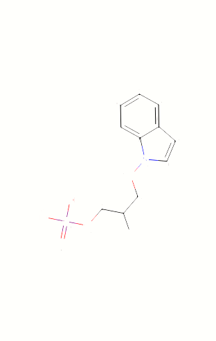 CC(COn1ccc2ccccc21)COP(=O)(O)O